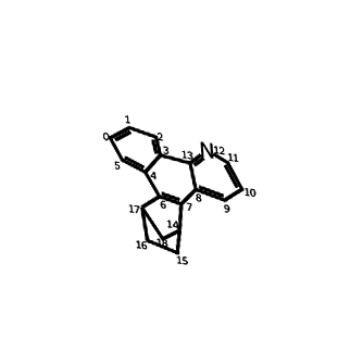 c1ccc2c(c1)c1c(c3cccnc32)C2CCC1C2